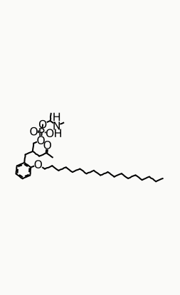 CCCCCCCCCCCCCCCCCCOc1ccccc1CC(COP(=O)(O)OC(C)NC)CC(C)=O